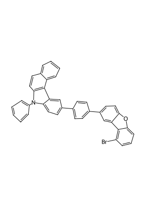 Brc1cccc2oc3ccc(-c4ccc(-c5ccc6c(c5)c5c7ccccc7ccc5n6-c5ccccc5)cc4)cc3c12